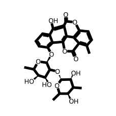 Cc1ccc2oc(=O)c3c(O)c4cccc(O[C@@H]5OC(C)[C@H](O)[C@H](O)C5O[C@H]5OC(C)[C@H](O)C(C)[C@H]5O)c4c4oc(=O)c1c2c34